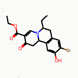 CCOC(=O)C1=CN2C(CC)Cc3cc(Br)c(O)cc3C2CC1=O